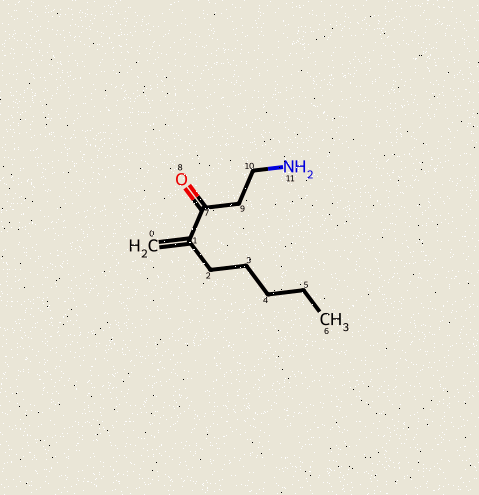 C=C(CCCCC)C(=O)CCN